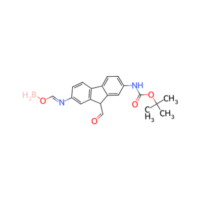 BOC=Nc1ccc2c(c1)C(C=O)c1cc(NC(=O)OC(C)(C)C)ccc1-2